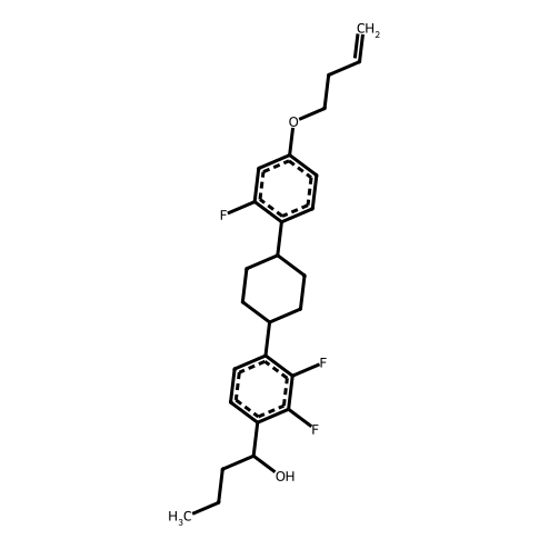 C=CCCOc1ccc(C2CCC(c3ccc(C(O)CCC)c(F)c3F)CC2)c(F)c1